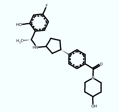 C[C@@H](NC1CC[C@H](c2ccc(C(=O)N3CCC(O)CC3)cc2)C1)c1ccc(F)cc1O